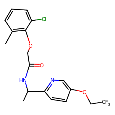 Cc1cccc(Cl)c1OCC(=O)NC(C)c1ccc(OCC(F)(F)F)cn1